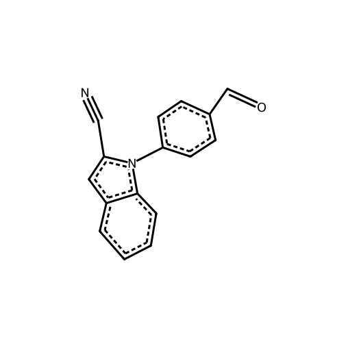 N#Cc1cc2ccccc2n1-c1ccc(C=O)cc1